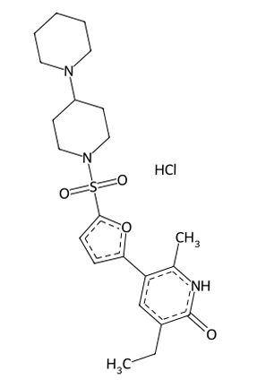 CCc1cc(-c2ccc(S(=O)(=O)N3CCC(N4CCCCC4)CC3)o2)c(C)[nH]c1=O.Cl